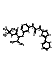 CC(C)N(Cc1cccc(NC(=O)Nc2csc(-c3ccccc3)n2)n1)C(=O)OC(C)(C)C